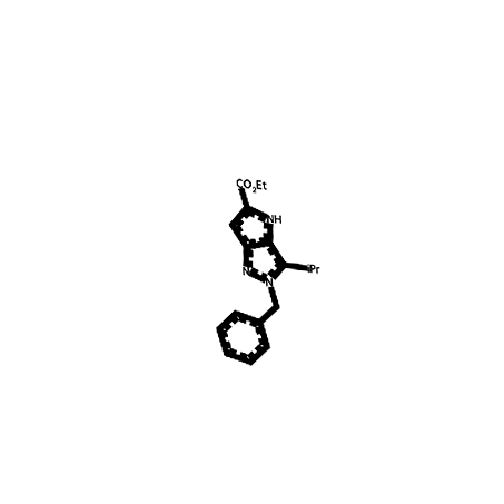 CCOC(=O)c1cc2nn(Cc3ccccc3)c(C(C)C)c2[nH]1